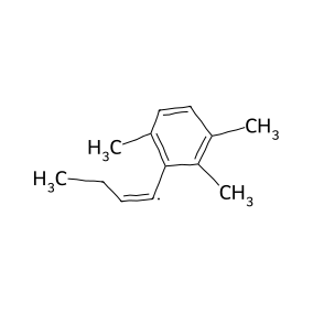 CC/C=[C]\c1c(C)ccc(C)c1C